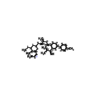 C=CC(CC)CC(CN/C=C\N)CNC(=C)CNc1ccc(-c2cnc(C)nc2)cc1C(=N)C(=C)C